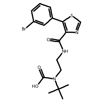 CC(C)(C)N(CCNC(=O)c1ncsc1-c1cccc(Br)c1)C(=O)O